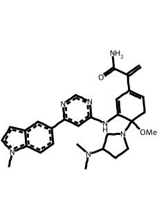 C=C(C(N)=O)C1=CCC(OC)(N2CCC(N(C)C)C2)C(Nc2cc(-c3ccc4c(ccn4C)c3)ncn2)=C1